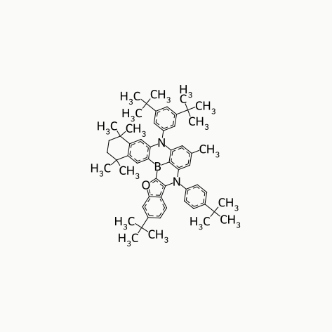 Cc1cc2c3c(c1)N(c1ccc(C(C)(C)C)cc1)c1c(oc4cc(C(C)(C)C)ccc14)B3c1cc3c(cc1N2c1cc(C(C)(C)C)cc(C(C)(C)C)c1)C(C)(C)CCC3(C)C